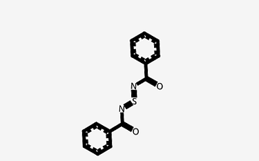 O=C(N=S=NC(=O)c1ccccc1)c1ccccc1